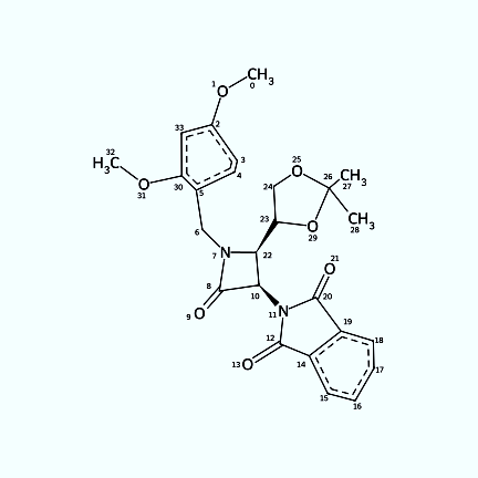 COc1ccc(CN2C(=O)[C@H](N3C(=O)c4ccccc4C3=O)[C@@H]2C2COC(C)(C)O2)c(OC)c1